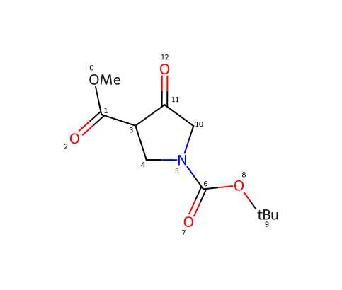 COC(=O)C1CN(C(=O)OC(C)(C)C)CC1=O